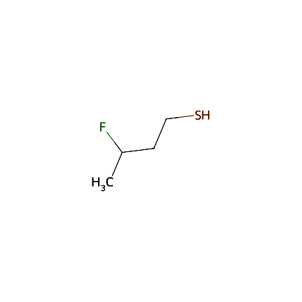 CC(F)CCS